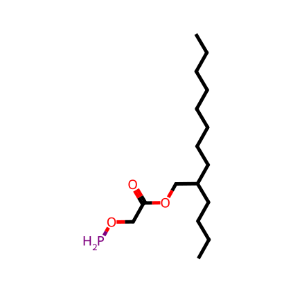 CCCCCCCCC(CCCC)COC(=O)COP